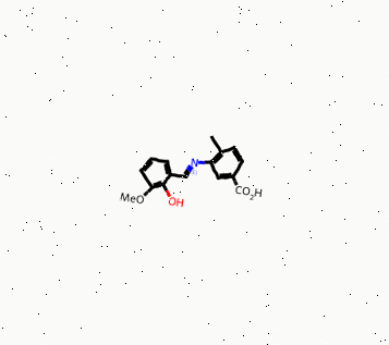 COc1cccc(/C=N/c2cc(C(=O)O)ccc2C)c1O